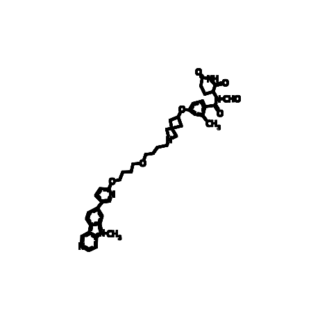 Cc1cc(OC2CC3(C2)CN(CCCCOCCCCOc2ccc(-c4ccc5c6cnccc6n(C)c5c4)cn2)C3)ccc1C(=O)N(C=O)C1CCC(=O)NC1=O